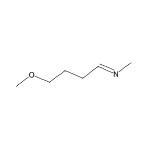 C/N=C/CCCOC